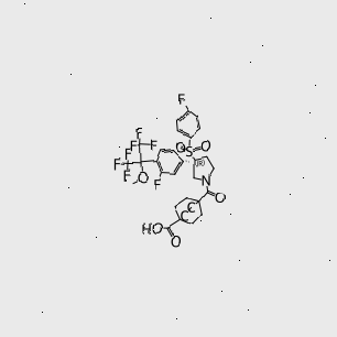 COC(c1ccc([C@]2(S(=O)(=O)c3ccc(F)cc3)CCN(C(=O)C34CCC(C(=O)O)(CC3)CC4)C2)cc1F)(C(F)(F)F)C(F)(F)F